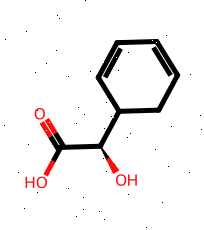 O=C(O)[C@H](O)C1C=CC=CC1